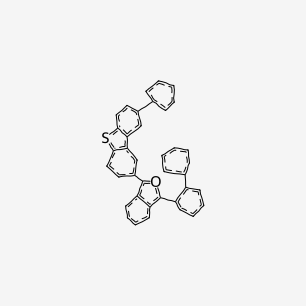 c1ccc(-c2ccc3sc4ccc(-c5oc(-c6ccccc6-c6ccccc6)c6ccccc56)cc4c3c2)cc1